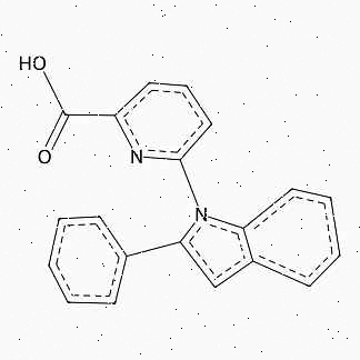 O=C(O)c1cccc(-n2c(-c3ccccc3)cc3ccccc32)n1